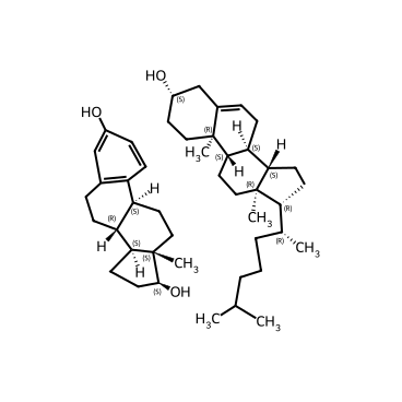 CC(C)CCC[C@@H](C)[C@H]1CC[C@H]2[C@@H]3CC=C4C[C@@H](O)CC[C@]4(C)[C@H]3CC[C@]12C.C[C@]12CC[C@@H]3c4ccc(O)cc4CC[C@H]3[C@@H]1CC[C@@H]2O